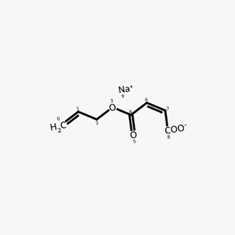 C=CCOC(=O)/C=C\C(=O)[O-].[Na+]